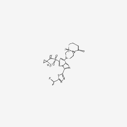 CC1(NS(=O)(=O)c2cc(N3CCN4C(=O)CCC[C@H]4C3)c3cnc(-c4nnc(C(F)F)s4)n3c2)CC1